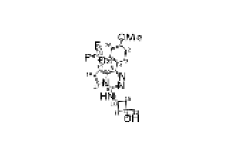 COc1ccc(-c2nnc(NC3CC(C)(O)C3)n3cccc23)c(OC(F)F)c1